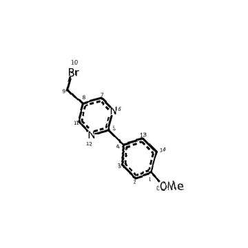 COc1ccc(-c2ncc(CBr)cn2)cc1